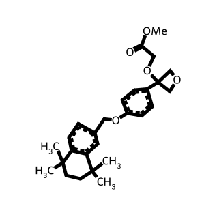 COC(=O)COC1(c2ccc(OCc3ccc4c(c3)C(C)(C)CCC4(C)C)cc2)COC1